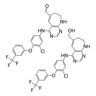 O=CC1=Cc2c(ncnc2Nc2ccc(Oc3cccc(C(F)(F)F)c3)c(Cl)c2)NCC1.OCC1=Cc2c(ncnc2Nc2ccc(Oc3cccc(C(F)(F)F)c3)c(Cl)c2)NCC1